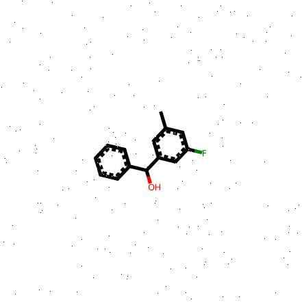 Cc1cc(F)cc(C(O)c2ccccc2)c1